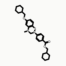 CN1CN(c2ccc(C(=O)OCC3CCCCC3)cc2)Sc2ccc(OCC3CCCCC3)cc21